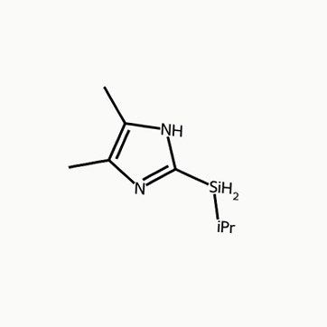 Cc1nc([SiH2]C(C)C)[nH]c1C